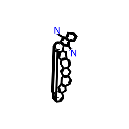 N#Cc1c2c(c(C#N)c3ccccc13)C1CC3=C4C=C1CC1=CC5=C(C=CC6CC7=C(C=C6C5)CC5=C(C=C7)CC(C=C3)C(=C5)C4)CC12